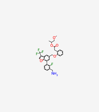 COCC(C)OC(=O)Cc1ccccc1OCc1cc(-c2cccc(CN)c2F)c2occ(C(F)(F)F)c2c1